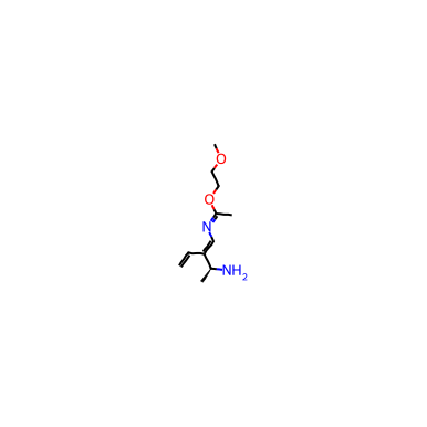 C=C/C(=C\N=C(/C)OCCOC)[C@H](C)N